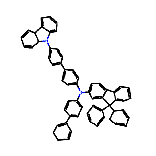 C1=CCC(C2(c3ccccc3)c3ccccc3-c3ccc(N(c4ccc(C5=CCCC=C5)cc4)c4ccc(-c5ccc(N6c7ccccc7C7C=CC=CC76)cc5)cc4)cc32)C=C1